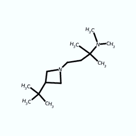 CN(C)C(C)(C)CCN1CC(C(C)(C)C)C1